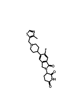 Cc1ncsc1CN1CCC(c2cc3c(cc2F)C(=O)N(C2CCC(=O)NC2=O)C3)CC1